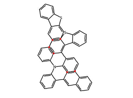 c1cc(-c2ccc3sc4ccccc4c3c2)cc(N(c2ccccc2-c2ccc3ccccc3c2)c2ccccc2-c2cccc3sc4ccccc4c23)c1